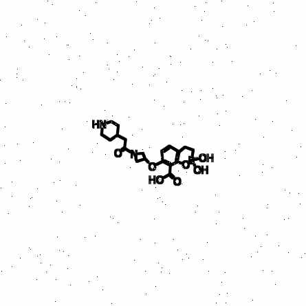 O=C(O)c1c(OC2CN(C(=O)CC3CCNCC3)C2)ccc2c1O[B-](O)(O)CC2